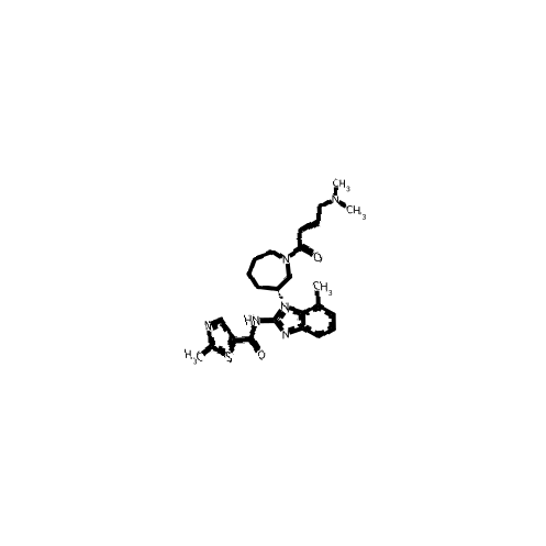 Cc1ncc(C(=O)Nc2nc3cccc(C)c3n2[C@@H]2CCCCN(C(=O)C=CCN(C)C)C2)s1